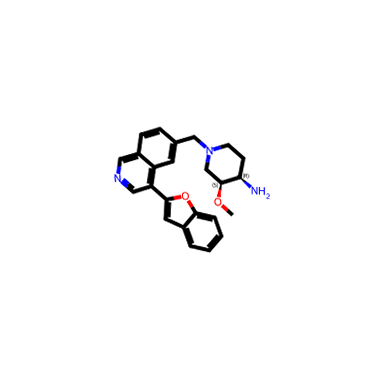 CO[C@H]1CN(Cc2ccc3cncc(-c4cc5ccccc5o4)c3c2)CC[C@H]1N